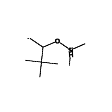 [CH2]C(O[SiH](C)C)C(C)(C)C